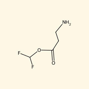 NCCC(=O)OC(F)F